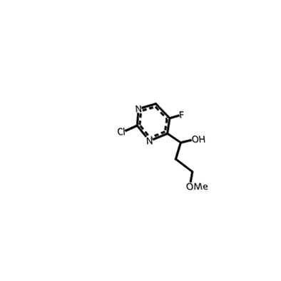 COCCC(O)c1nc(Cl)ncc1F